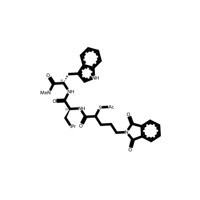 CNC(=O)[C@H](Cc1c[nH]c2ccccc12)NC(=O)[C@H](CC(C)C)NC(=O)C(CCCN1C(=O)c2ccccc2C1=O)SC(C)=O